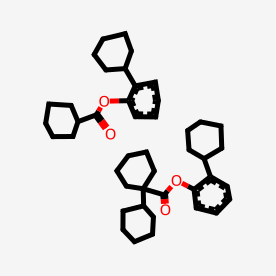 O=C(Oc1ccccc1C1CCCCC1)C1(C2CCCCC2)CCCCC1.O=C(Oc1ccccc1C1CCCCC1)C1CCCCC1